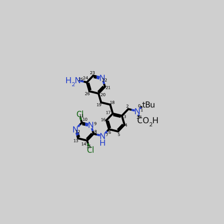 CC(C)(C)N(Cc1ccc(Nc2nc(Cl)ncc2Cl)cc1CCc1cncc(N)c1)C(=O)O